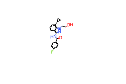 O=C(Nc1nn(CCO)c2c(C3CC3)cccc12)c1ccc(F)cc1